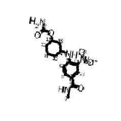 CNC(=O)c1ccc(NC2CCCC(OC(N)=O)C2)c([N+](=O)[O-])c1